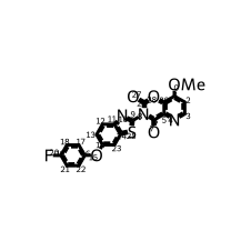 COc1ccnc2c(=O)n(-c3nc4ccc(Oc5ccc(F)cc5)cc4s3)c(=O)oc12